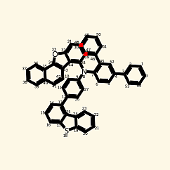 c1ccc(-c2ccc(N(c3ccc(-c4cccc5sc6ccccc6c45)cc3)c3cccc4oc5c6ccccc6ccc5c34)c(-c3ccccc3)c2)cc1